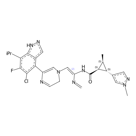 C=N/C(=C\N1C=C(c2c(Cl)c(F)c(C(C)C)c3[nH]ncc23)N=CC1)NC(=O)[C@H]1[C@@H](C)[C@@H]1c1cnn(C)c1